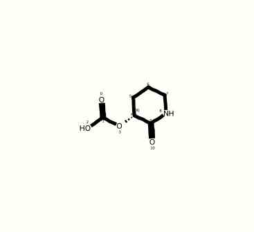 O=C(O)O[C@@H]1CCCNC1=O